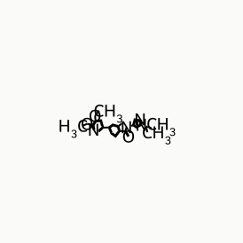 COc1cc(-c2ccc3c(c2)CN(c2cnn(C(C)C)c2)C3=O)cnc1OC